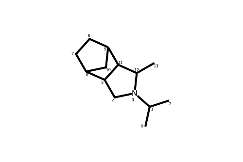 CC(C)N1CC2C3CCC(C3)C2C1C